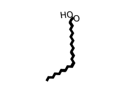 CCCCC/C=C/C/C=C\C/C=C/CCCCCCC=CC(=O)O